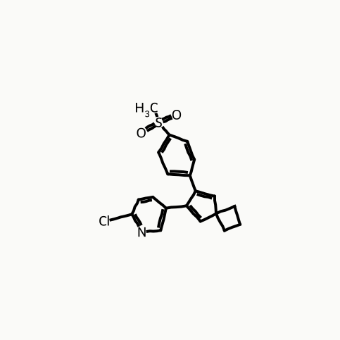 CS(=O)(=O)c1ccc(C2=CC3(C=C2c2ccc(Cl)nc2)CCC3)cc1